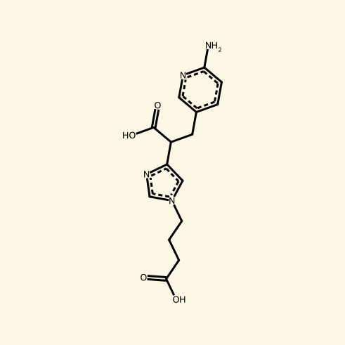 Nc1ccc(CC(C(=O)O)c2cn(CCCC(=O)O)cn2)cn1